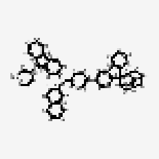 C=C(/C=C\C(=C/C)c1ccc2c(c1)-c1ccccc1C21C2CC3CC(C2)CC1C3)N(c1ccc2ccccc2c1)c1ccc2c3ccccc3n(C(/C=C\C)=C/CC)c2c1